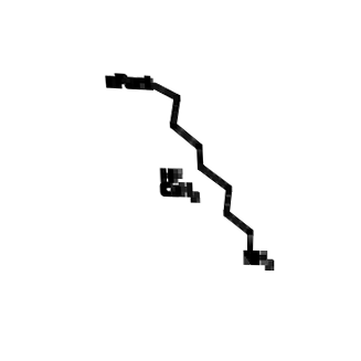 CCCCCCCCCCCCN.F.[CaH2]